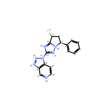 F[C@H]1C[C@@H](c2ccccc2)n2nc(-n3nnc4cnccc43)nc21